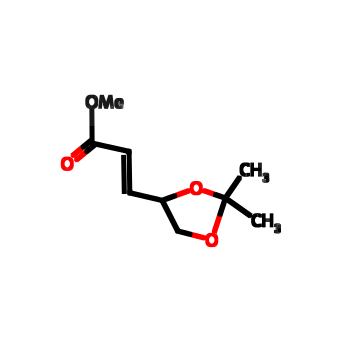 COC(=O)C=CC1COC(C)(C)O1